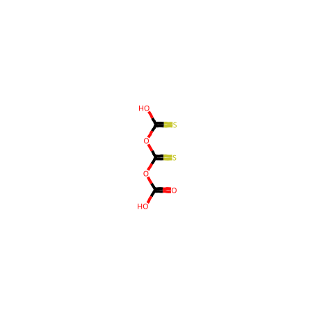 O=C(O)OC(=S)OC(O)=S